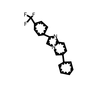 FC(F)(F)c1ccc(-c2cn3cc(-c4ccccc4)ccc3n2)cc1